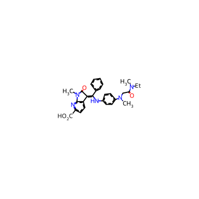 CCN(C)C(=O)CN(C)c1ccc(NC(=C2C(=O)N(C)c3nc(C(=O)O)ccc32)c2ccccc2)cc1